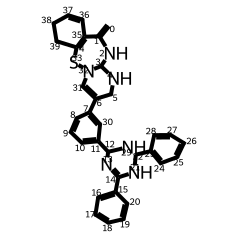 C=C1NC2NCC(c3cccc(C4N=C(c5ccccc5)NC(c5ccccc5)N4)c3)=CN2SC2=C1C=CCC2